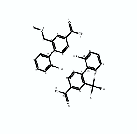 COCc1cc(C(=O)O)ccc1-c1ccccc1F.O=C(O)c1ccc(-c2ccccc2F)c(C(F)(F)F)c1